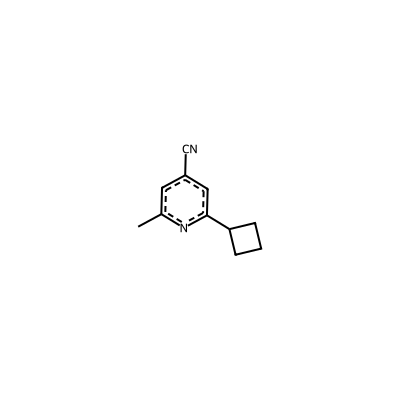 Cc1cc(C#N)cc(C2CCC2)n1